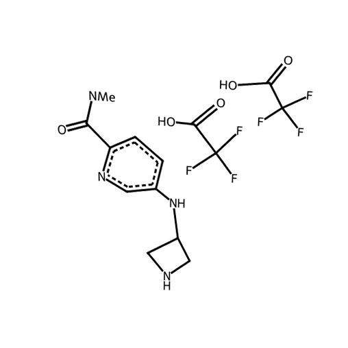 CNC(=O)c1ccc(NC2CNC2)cn1.O=C(O)C(F)(F)F.O=C(O)C(F)(F)F